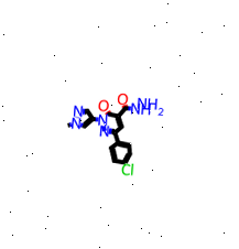 Cn1cc(-n2nc(-c3ccc(Cl)cc3)cc(C(=O)NN)c2=O)cn1